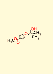 COC(=O)c1ccc(OCC(CO)C(C)C)cc1